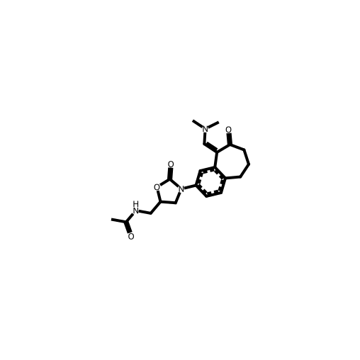 CC(=O)NCC1CN(c2ccc3c(c2)C(=CN(C)C)C(=O)CCC3)C(=O)O1